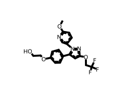 COc1ccc(-n2nc(OCC(F)(F)F)cc2-c2ccc(OCCO)cc2)cn1